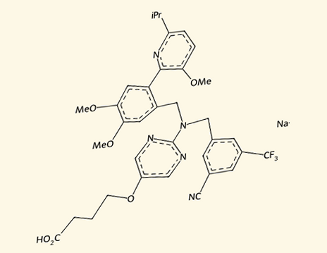 COc1cc(CN(Cc2cc(C#N)cc(C(F)(F)F)c2)c2ncc(OCCCC(=O)O)cn2)c(-c2nc(C(C)C)ccc2OC)cc1OC.[Na]